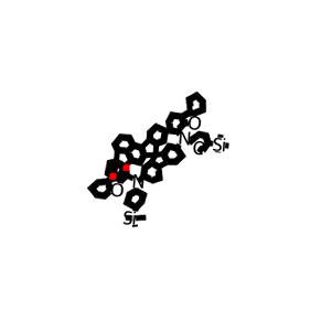 C[Si](C)(C)c1ccc(N(c2ccc3c(c2)C2(c4cc(N(c5ccc([Si](C)(C)C)cc5)c5cccc6c5oc5ccccc56)ccc4-3)c3ccccc3-c3c2cc2c4c(cccc34)-c3ccccc3-2)c2cccc3c2oc2ccccc23)cc1